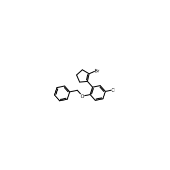 Clc1ccc(OCc2ccccc2)c(C2=C(Br)CCC2)c1